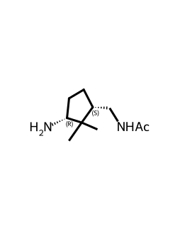 CC(=O)NC[C@H]1CC[C@@H](N)C1(C)C